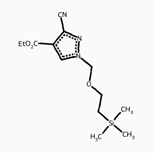 CCOC(=O)c1cn(COCC[Si](C)(C)C)nc1C#N